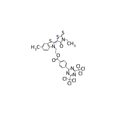 CCN1C(=O)/C(=C2/Sc3cc(C)ccc3N2CCOC(=O)c2ccc(-c3nc(C(Cl)(Cl)Cl)nc(C(Cl)(Cl)Cl)n3)cc2)SC1=S